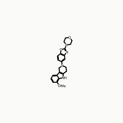 COc1cccc2c3c([nH]c12)CCN(c1ccc2oc(N4CCOCC4)nc2c1)C3